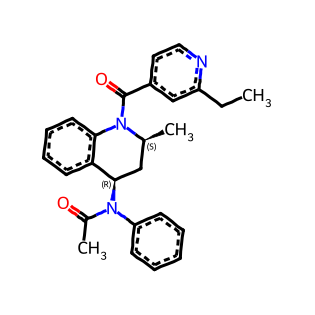 CCc1cc(C(=O)N2c3ccccc3[C@H](N(C(C)=O)c3ccccc3)C[C@@H]2C)ccn1